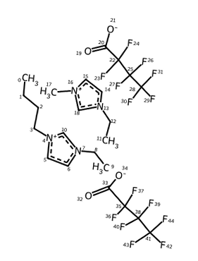 CCCC[n+]1ccn(CC)c1.CCn1cc[n+](C)c1.O=C([O-])C(F)(F)C(F)(F)C(F)(F)F.O=C([O-])C(F)(F)C(F)(F)C(F)(F)F